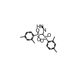 Cc1ccc(S(=O)(=O)C(N=N)S(=O)(=O)c2ccc(C)cc2C)c(C)c1